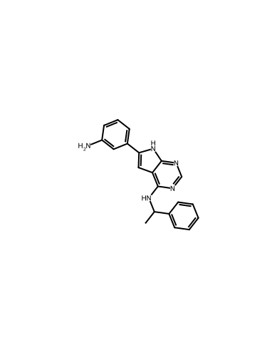 CC(Nc1ncnc2[nH]c(-c3cccc(N)c3)cc12)c1ccccc1